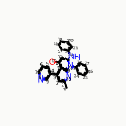 Cc1cc(-c2cccnc2)c2c(=O)cc(Nc3ccccc3)n(-c3ccccc3)c2n1